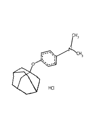 CN(C)c1ccc(OC23CC4CC(CC(C4)C2)C3)cc1.Cl